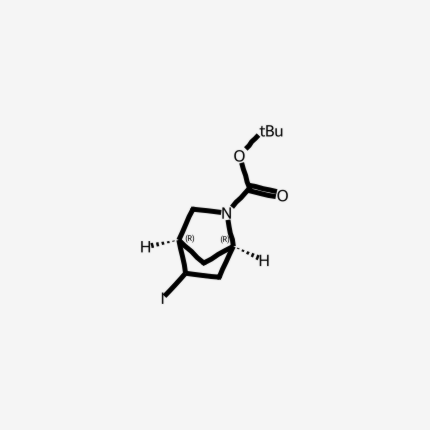 CC(C)(C)OC(=O)N1C[C@H]2C[C@@H]1CC2I